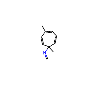 C=NC1(C)C=CC=C(C)C=C1